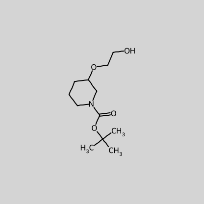 CC(C)(C)OC(=O)N1CCCC(OCCO)C1